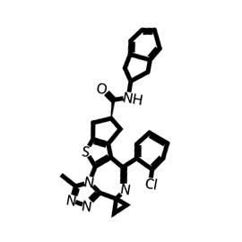 Cc1nnc2n1-c1sc3c(c1C(c1ccccc1Cl)=NC21CC1)C[C@H](C(=O)NC1Cc2ccccc2C1)C3